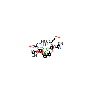 N#Cc1cncc(COc2cc(OCc3cccc(-c4cccc(COc5cc(OCc6cncc(C#N)c6)c(CN[C@@H](CCCCO)C(=O)O)cc5Cl)c4Cl)c3Cl)c(Cl)cc2CN[C@@H](CCO)C(=O)O)c1